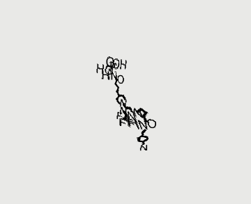 N#Cc1ccc(CCNC(=O)C2CCN2c2cc(N3CCC(CCCC(=O)NCP(=O)(O)O)CC3)nc(C(F)(F)F)n2)cc1